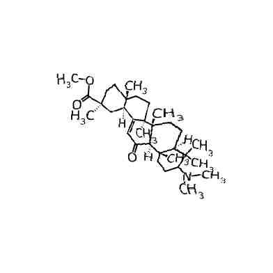 COC(=O)[C@@]1(C)CC[C@]2(C)CC[C@]3(C)C(=CC(=O)[C@@H]4[C@@]5(C)CCC(N(C)C)C(C)(C)[C@@H]5CC[C@]43C)[C@H]2C1